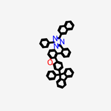 c1ccc(-c2nc(-c3ccc4ccccc4c3)nc(-c3ccccc3-c3cccc4oc5cc(C6(c7ccccc7)c7ccccc7-c7ccccc76)ccc5c34)n2)cc1